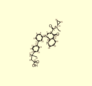 CN(C(=O)c1cn(-c2cccc(-c3ccc(C(C)(C)CC(=O)O)cc3)c2)c2ncccc2c1=O)C1CC1